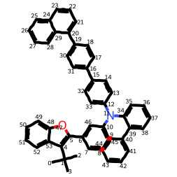 CC(C)(C)c1c(-c2cccc(N(c3ccc(-c4ccc(-c5cccc6ccccc56)cc4)cc3)c3ccccc3-c3ccccc3)c2)oc2ccccc12